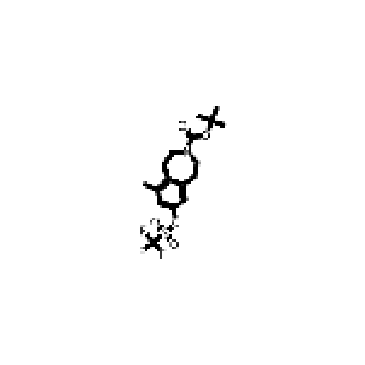 Cc1cc(OS(=O)(=O)C(F)(F)F)cc2c1CCN(C(=O)OC(C)(C)C)CC2